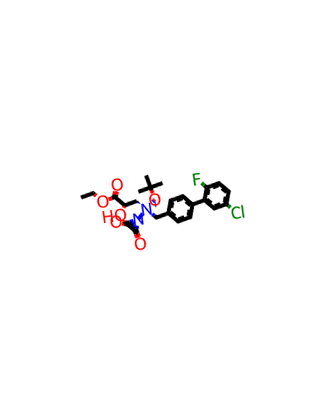 CCOC(=O)C(O)C[N@@+](Cc1ccc(-c2cc(Cl)ccc2F)cc1)(OC(C)(C)C)n1c(=O)c1=O